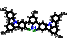 CC(C)(C)c1cc(-c2cc3c(cc2Br)c2cc(C(C)(C)C)cc4c5cc(C(C)(C)C)ccc5n3c42)c(N)c(-c2cc3c(cc2Br)c2cc(C(C)(C)C)cc4c5cc(C(C)(C)C)ccc5n3c42)c1